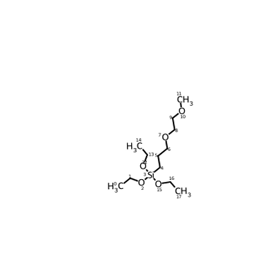 CCO[Si](CCCOCCOC)(OCC)OCC